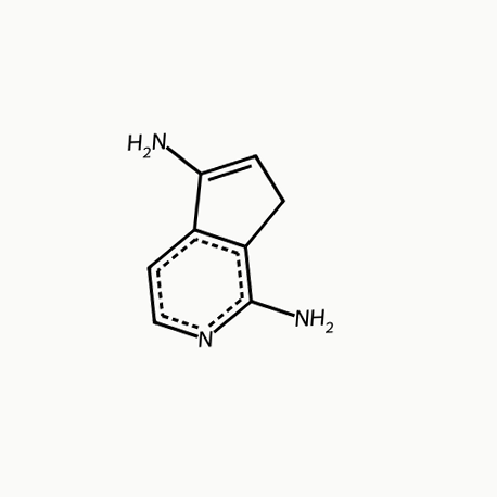 NC1=CCc2c1ccnc2N